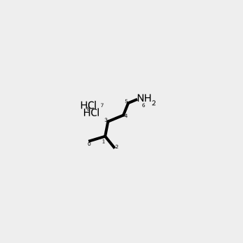 CC(C)CCCN.Cl.Cl